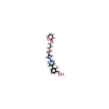 OCc1cccc(-c2cnc(N3CC(=NOCCCOC4CCCCO4)C3)nc2)c1F